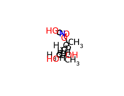 CC[C@H]1[C@@H](O)[C@@H]2[C@H](CC[C@]3(C)[C@@H]([C@H](C)CCOC(=O)N4CCC(O)CC4)CC[C@@H]23)[C@@]2(C)CC[C@@H](O)C[C@@H]12